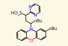 CCCCc1ccc2c(c1)N(C(CCCC)CC(c1ncccn1)S(=O)(=O)O)c1ccccc1O2